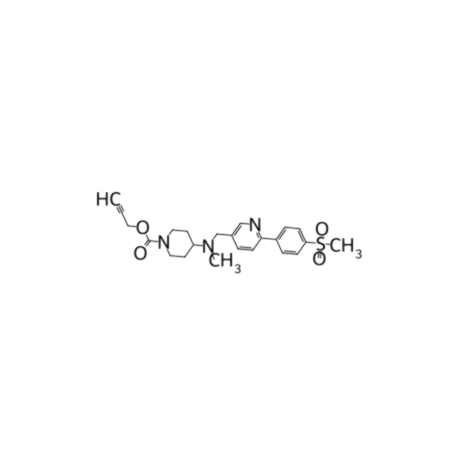 C#CCOC(=O)N1CCC(N(C)Cc2ccc(-c3ccc(S(C)(=O)=O)cc3)nc2)CC1